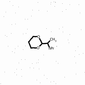 CCC[C](C)C1OCCCO1